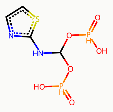 O=[PH](O)OC(Nc1nccs1)O[PH](=O)O